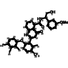 COc1cccc(C(CO)NC(=O)c2nccc3[nH]c(-c4c(Oc5ccc(F)c(F)c5C)ncc(C(F)(F)F)c4C)cc(=O)c23)c1